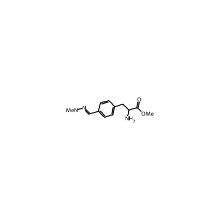 CN/N=C/c1ccc(CC(N)C(=O)OC)cc1